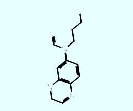 CCCCN(C=O)c1ccc2c(c1)NCC=N2